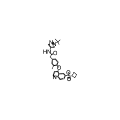 Cc1cc(CC(=O)Nc2cnn(C(C)(C)C)c2)ccc1Oc1ccnc2ccc(S(=O)(=O)C3CCC3)cc12